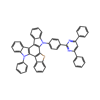 c1ccc(-c2cc(-c3ccccc3)nc(-c3ccc(-n4c5ccccc5c5c6c7ccccc7n(-c7ccccc7)c6c6c7ccccc7sc6c54)cc3)n2)cc1